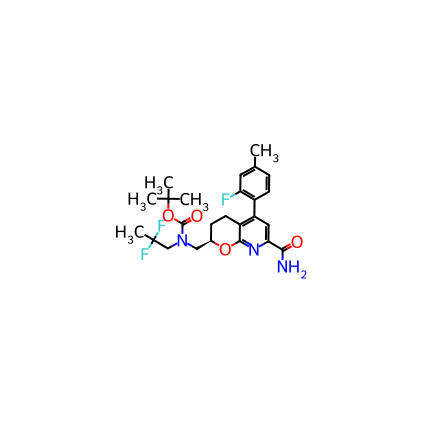 Cc1ccc(-c2cc(C(N)=O)nc3c2CC[C@H](CN(CC(C)(F)F)C(=O)OC(C)(C)C)O3)c(F)c1